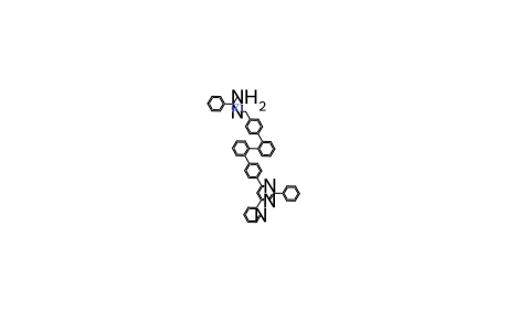 N/C(=N\Cc1ccc(-c2ccccc2-c2ccccc2-c2ccc(-c3cc(-c4ccccn4)nc(-c4ccccc4)n3)cc2)cc1)c1ccccc1